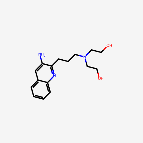 Nc1cc2ccccc2nc1CCCN(CCO)CCO